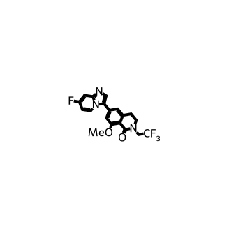 COc1cc(-c2cnc3cc(F)ccn23)cc2c1C(=O)N(CC(F)(F)F)CC2